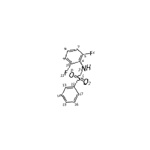 O=S(=O)(Nc1c(F)cccc1F)c1ccccc1